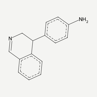 Nc1ccc(C2CN=Cc3ccccc32)cc1